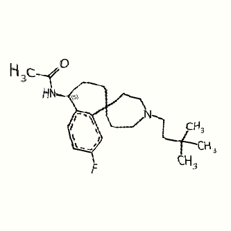 CC(=O)N[C@H]1CCC2(CCN(CCC(C)(C)C)CC2)c2cc(F)ccc21